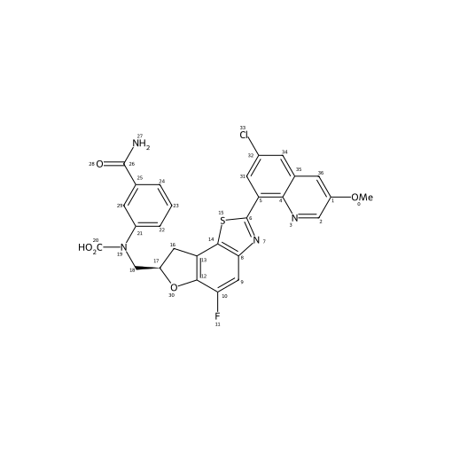 COc1cnc2c(-c3nc4cc(F)c5c(c4s3)C[C@H](CN(C(=O)O)c3cccc(C(N)=O)c3)O5)cc(Cl)cc2c1